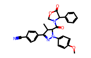 COc1ccc(N2N=C(c3ccc(C#N)cc3)C(C)C2C(=O)N2COC(=O)C2c2ccccc2)cc1